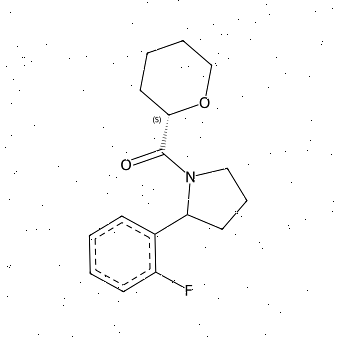 O=C([C@@H]1CCCCO1)N1CCCC1c1ccccc1F